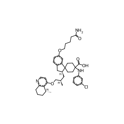 C[C@@H](COc1ccnc2c1[C@H](C)CCC2)C[C@H]1Cc2ccc(OCCCCC(N)=O)cc2C12CCC(Nc1cccc(Cl)c1)(C(=O)O)CC2